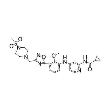 COc1c(Nc2ccnc(NC(=O)C3CC3)c2)cccc1-c1nc(CN2CCN(S(C)(=O)=O)CC2)no1